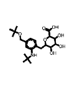 CC(C)(C)Nc1cc(COC(C)(C)C)ccc1CC1OC(C(=O)O)C(O)C(O)C1O